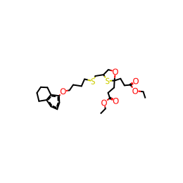 CCOC(=O)CCC1(CCC(=O)OCC)OCC(CSCCCCOc2cccc3c2CCCC3)S1